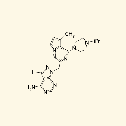 Cc1ccn2nc(Cn3nc(I)c4c(N)ncnc43)nc(N3CCN(C(C)C)CC3)c12